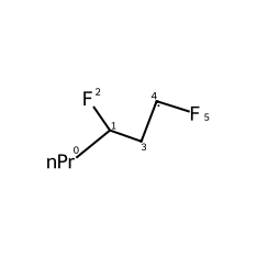 CCCC(F)C[C]F